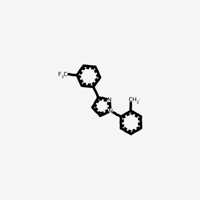 [CH2]c1ccccc1-n1ccc(-c2cccc(C(F)(F)F)c2)n1